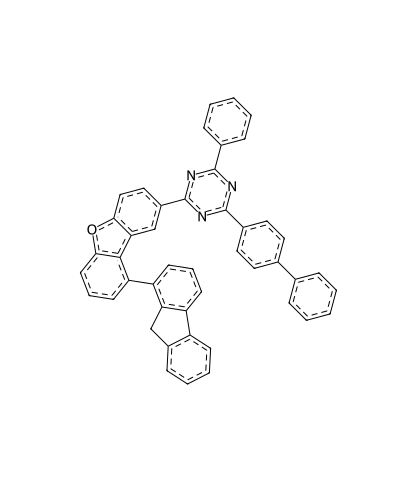 c1ccc(-c2ccc(-c3nc(-c4ccccc4)nc(-c4ccc5oc6cccc(-c7cccc8c7Cc7ccccc7-8)c6c5c4)n3)cc2)cc1